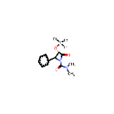 CC[Si](CC)(CC)O[C@@H]1C(=O)N(C(=O)N(C)C)C1c1ccccc1